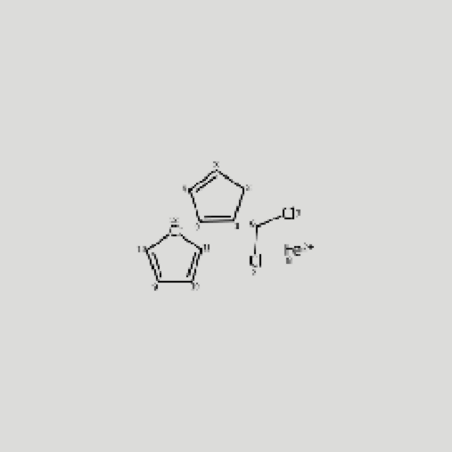 C1=CCC=C1.ClCCl.[Fe+2].c1cc[cH-]c1